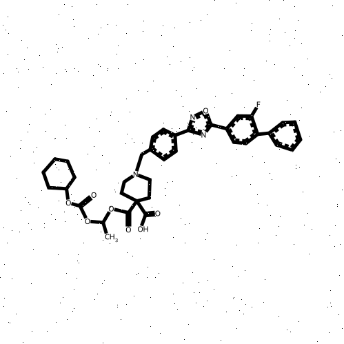 CC(OC(=O)OC1CCCCC1)OC(=O)C1(C(=O)O)CCN(Cc2ccc(-c3noc(-c4ccc(-c5ccccc5)c(F)c4)n3)cc2)CC1